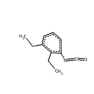 CCc1cccc(N=C=O)c1CC